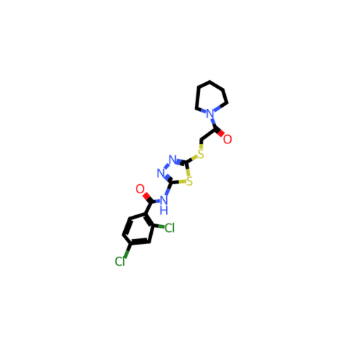 O=C(Nc1nnc(SCC(=O)N2CCCCC2)s1)c1ccc(Cl)cc1Cl